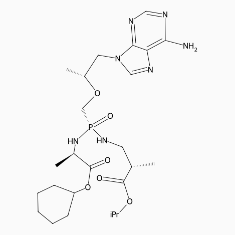 CC(C)OC(=O)[C@@H](C)CN[P@@](=O)(CO[C@H](C)Cn1cnc2c(N)ncnc21)N[C@H](C)C(=O)OC1CCCCC1